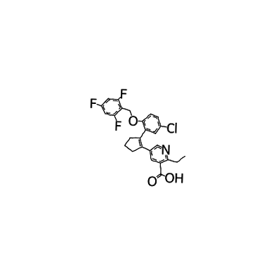 CCc1ncc(C2=C(c3cc(Cl)ccc3OCc3c(F)cc(F)cc3F)CCC2)cc1C(=O)O